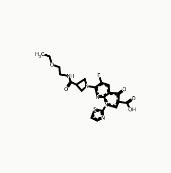 CCOCCNC(=O)C1CN(c2nc3c(cc2F)c(=O)c(C(=O)O)cn3-c2nccs2)C1